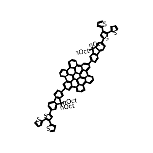 CCCCCCCCC1(CCCCCCCC)c2cc(-c3cc4c5cccc6c7cccc8c9cc(-c%10ccc%11c(c%10)C(CCCCCCCC)(CCCCCCCC)c%10cc(-c%12cc(-c%13cccs%13)c(-c%13cccs%13)s%12)ccc%10-%11)cc%10c%11cccc%12c%13cccc%14c(c3)c4c3c(c65)c(c78)c(c9%10)c(c%12%11)c3c%13%14)ccc2-c2ccc(-c3cc(-c4cccs4)c(-c4cccs4)s3)cc21